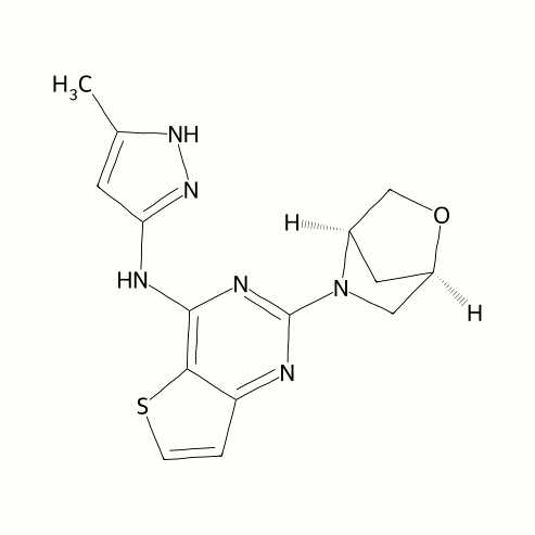 Cc1cc(Nc2nc(N3C[C@H]4C[C@@H]3CO4)nc3ccsc23)n[nH]1